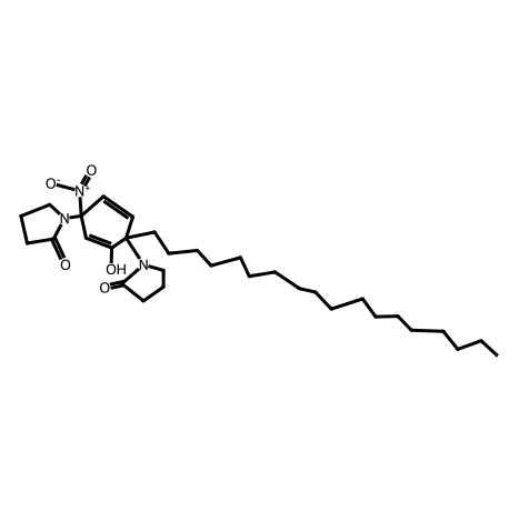 CCCCCCCCCCCCCCCCCCC1(N2CCCC2=O)C=CC(N2CCCC2=O)([N+](=O)[O-])C=C1O